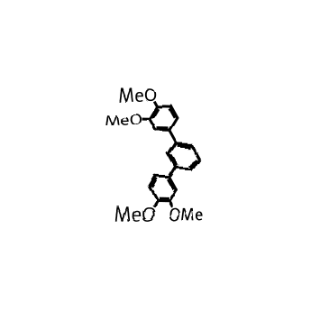 COc1ccc(-c2cccc(-c3ccc(OC)c(OC)c3)c2)cc1OC